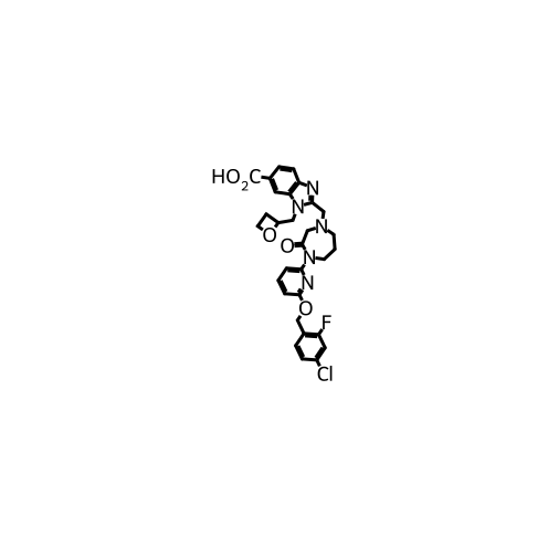 O=C(O)c1ccc2nc(CN3CCCN(c4cccc(OCc5ccc(Cl)cc5F)n4)C(=O)C3)n(CC3CCO3)c2c1